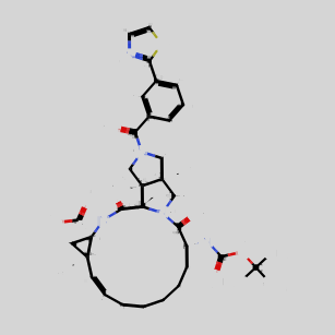 CC(C)(C)OC(=O)N[C@@H]1CCCCC/C=C\[C@H]2C[C@@]2(C(=O)O)NC(=O)[C@@H]2[C@H]3CN(C(=O)c4cccc(-c5nccs5)c4)C[C@H]3CN2C1=O